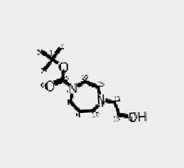 CC(C)(C)OC(=O)N1CCCN(CCO)CC1